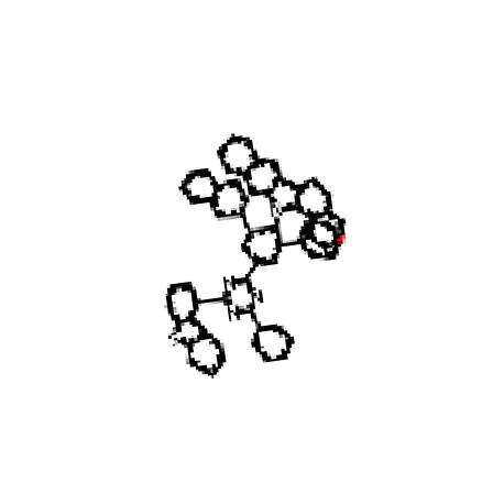 c1ccc(-c2nc(-c3cc(-c4ccccc4)c(-n4c5cc6ccccc6cc5c5ccc6ccccc6c54)c(-c4ccc5ccccc5c4)c3)nc(-c3cccc4sc5ccccc5c34)n2)cc1